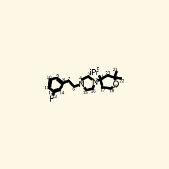 CC(C)C1(N2CCN(CCc3cccc(F)c3)CC2)CCOC(C)(C)C1